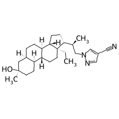 CC[C@]12CC[C@H]3[C@@H](CC[C@@H]4C[C@](C)(O)CC[C@@H]43)[C@@H]1CC[C@@H]2[C@@H](C)Cn1cc(C#N)cn1